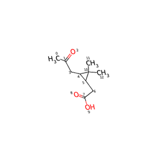 CC(=O)CC1C(CC(=O)O)C1(C)C